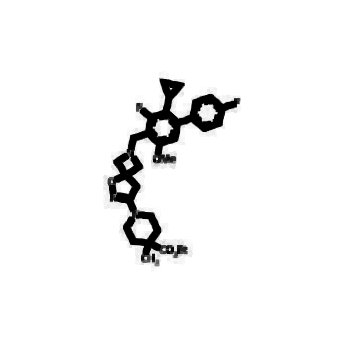 CCOC(=O)C1(C)CCN(C2=NOC3(C2)CN(Cc2c(OC)cc(-c4ccc(F)cc4)c(C4CC4)c2F)C3)CC1